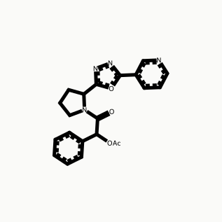 CC(=O)OC(C(=O)N1CCCC1c1nnc(-c2cccnc2)o1)c1ccccc1